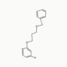 Fc1cc[c]c(OCCCOCc2ccccc2)c1